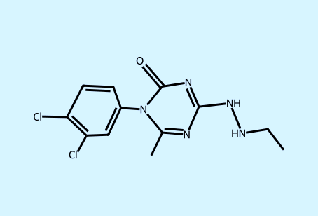 CCNNc1nc(C)n(-c2ccc(Cl)c(Cl)c2)c(=O)n1